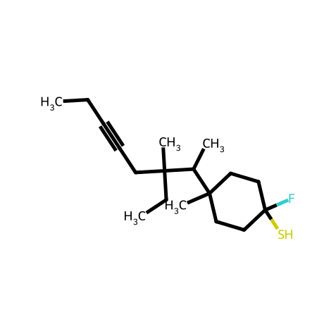 CCC#CCC(C)(CC)C(C)C1(C)CCC(F)(S)CC1